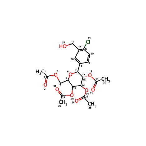 CC(=O)OCC1OC(c2ccc(Cl)c(CO)c2)[C@H](OC(C)=O)C(OC(C)=O)C1OC(C)=O